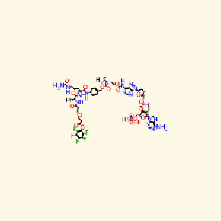 CC(C)[C@H](NC(=O)CCOCCC(=O)Oc1c(F)c(F)c(F)c(F)c1F)C(=O)N[C@@H](CCCNC(N)=O)C(=O)Nc1ccc(COC(=O)N(C)CCOC(=O)Nc2ncnc3c2ncn3[C@H]2CC[C@@H](COPO[C@H]3[C@@H](F)[C@H](n4cnc5c(N)ncnc54)O[C@@H]3CO[P@](=O)(O)S)O2)cc1